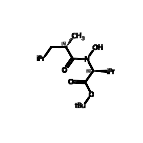 CC(C)C[C@H](C)C(=O)N(O)[C@H](C(=O)OC(C)(C)C)C(C)C